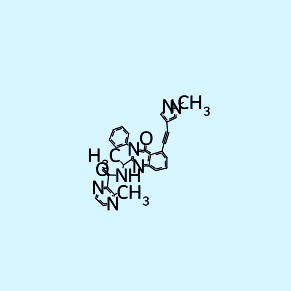 Cc1nccnc1C(=O)NC(C)c1nc2cccc(C#Cc3cnn(C)c3)c2c(=O)n1-c1ccccc1